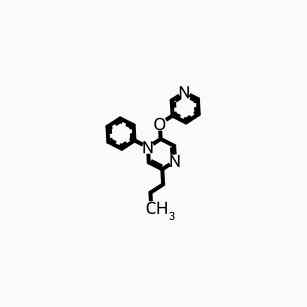 CCCC1=CN(c2ccccc2)C(Oc2cccnc2)C=N1